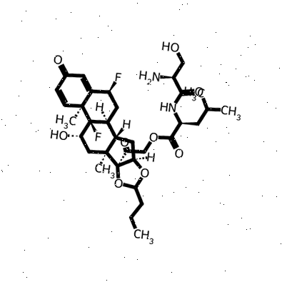 CCCC1O[C@@H]2C[C@H]3[C@@H]4C[C@H](F)C5=CC(=O)C=C[C@]5(C)[C@@]4(F)[C@@H](O)C[C@]3(C)[C@]2(C(=O)COC(=O)[C@H](CC(C)C)NC(=O)[C@@H](N)CO)O1